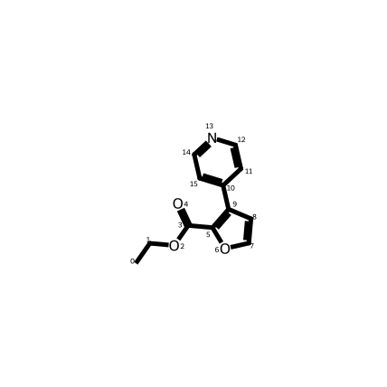 CCOC(=O)c1occc1-c1ccncc1